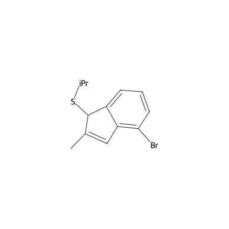 CC1=Cc2c(Br)cccc2C1SC(C)C